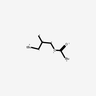 CCC(C)C(=O)OCC(C)CC(C)(C)C